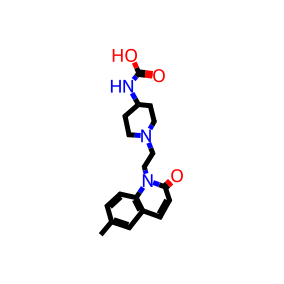 Cc1ccc2c(ccc(=O)n2CCN2CCC(NC(=O)O)CC2)c1